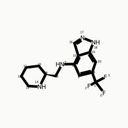 FC(F)(F)c1cc(NC[C@@H]2CCCCN2)c2cn[nH]c2c1